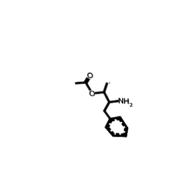 [CH2]C(OC(C)=O)C(N)Cc1ccccc1